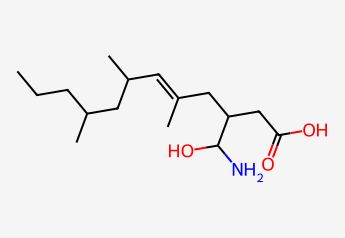 CCCC(C)CC(C)/C=C(\C)CC(CC(=O)O)C(N)O